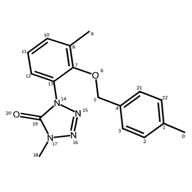 Cc1ccc(COc2c(C)cccc2-n2nnn(C)c2=O)cc1